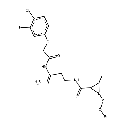 C=C(CCNC(=O)C1C(C)N1SOCC)NC(=O)COc1ccc(Cl)c(F)c1.S